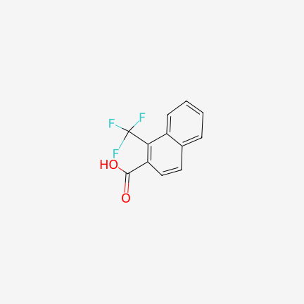 O=C(O)c1ccc2ccccc2c1C(F)(F)F